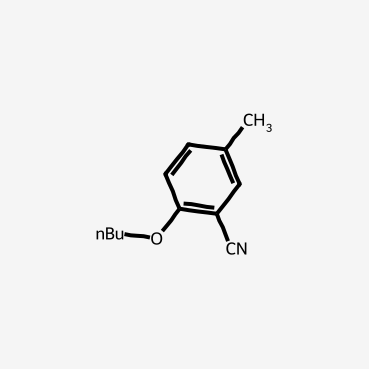 CCCCOc1ccc(C)cc1C#N